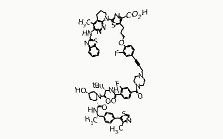 Cc1ncsc1-c1ccc([C@H](C)NC(=O)[C@@H]2C[C@@H](O)CN2C(=O)[C@@H](NC(=O)c2ccc(C(=O)N3CCN(CC#Cc4ccc(OCCCc5sc(N6CCCc7c6nnc(Nc6nc8ccccc8s6)c7C)nc5C(=O)O)c(F)c4)CC3)cc2F)C(C)(C)C)cc1